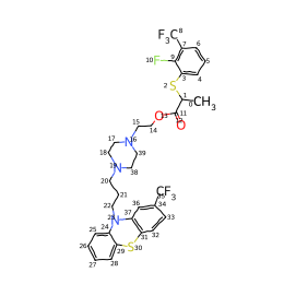 CC(Sc1cccc(C(F)(F)F)c1F)C(=O)OCCN1CCN(CCCN2c3ccccc3Sc3ccc(C(F)(F)F)cc32)CC1